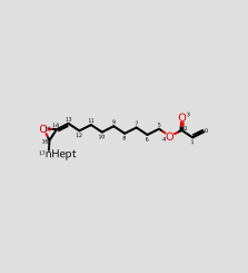 C=CC(=O)OCCCCCCCCC=C1OC1CCCCCCC